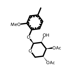 COc1cc(C)ccc1O[C@@H]1OC[C@@H](OC(C)=O)[C@H](OC(C)=O)[C@H]1O